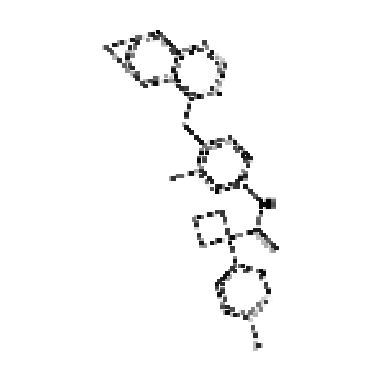 C=C(Nc1ccc(Cc2ncnc3cc4c(cc23)C4)c(C)c1)C1(c2ccc(F)cc2)CCC1